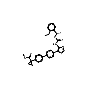 CCc1ccccc1[C@@H](C)OC(=O)Nc1ncsc1-c1ccc(-c2ccc(C3(C(=O)OC)CC3)cc2)cc1